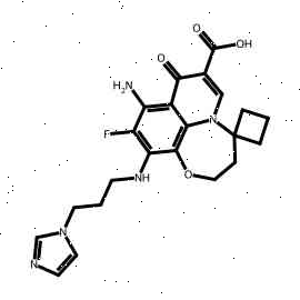 Nc1c(F)c(NCCCn2ccnc2)c2c3c1c(=O)c(C(=O)O)cn3C1(CCC1)CCO2